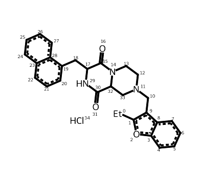 CCc1oc2ccccc2c1CN1CCN2C(=O)C(Cc3cccc4ccccc34)NC(=O)C2C1.Cl